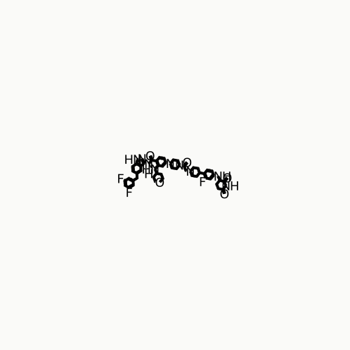 O=C1CCC(Nc2ccc(C3CCN(CC(=O)N4CCN(c5ccc(C(=O)Nc6n[nH]c7ccc(Cc8cc(F)cc(F)c8)cc67)c(NC6CCOCC6)c5)CC4)CC3)c(F)c2)C(=O)N1